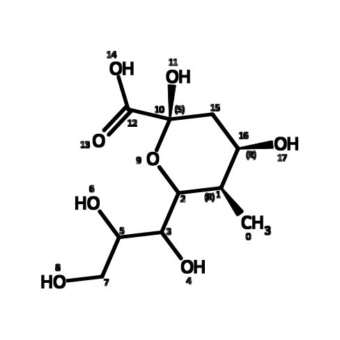 C[C@H]1C(C(O)C(O)CO)O[C@](O)(C(=O)O)C[C@H]1O